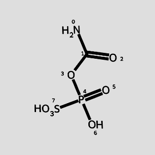 NC(=O)OP(=O)(O)S(=O)(=O)O